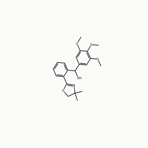 COc1cc(C(O)c2ccccc2C2=NC(C)(C)CO2)cc(OC)c1OC